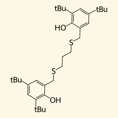 CC(C)(C)c1cc(CSCCCSCc2cc(C(C)(C)C)cc(C(C)(C)C)c2O)c(O)c(C(C)(C)C)c1